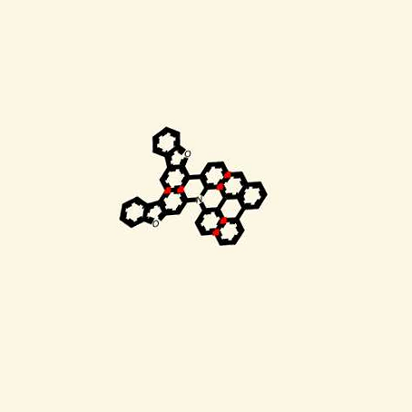 c1ccc(-c2cccc3cccc(-c4ccccc4N(c4ccc5c(c4)oc4ccccc45)c4ccccc4-c4cccc5c4oc4ccccc45)c23)cc1